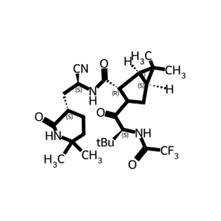 CC1(C)CC[C@@H](C[C@@H](C#N)NC(=O)[C@H]2C(C(=O)[C@@H](NC(=O)C(F)(F)F)C(C)(C)C)C[C@H]3[C@@H]2C3(C)C)C(=O)N1